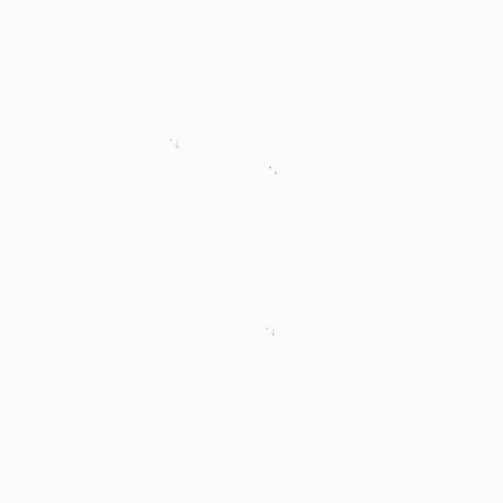 C=C1CC2C(CCc3cc4c(cc3-c3cccc[n+]31)c1c3c(cc5c6ccccc6n4c51)sc1ccccc13)c1ccccc1-c1cccc[n+]12